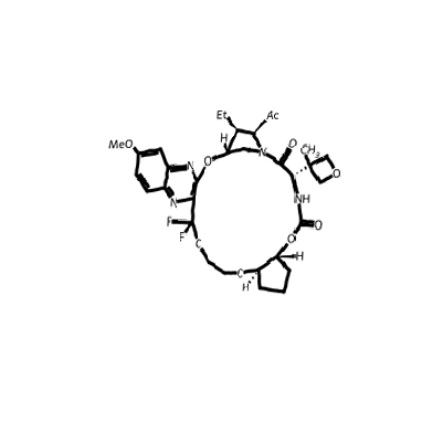 CC[C@@H]1[C@@H]2CN(C(=O)[C@H](C3(C)COC3)NC(=O)O[C@@H]3CCC[C@H]3CCCCC(F)(F)c3nc4ccc(OC)cc4nc3O2)[C@@H]1C(C)=O